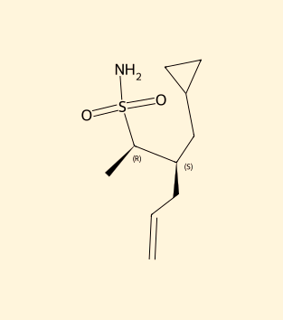 C=CC[C@H](CC1CC1)[C@@H](C)S(N)(=O)=O